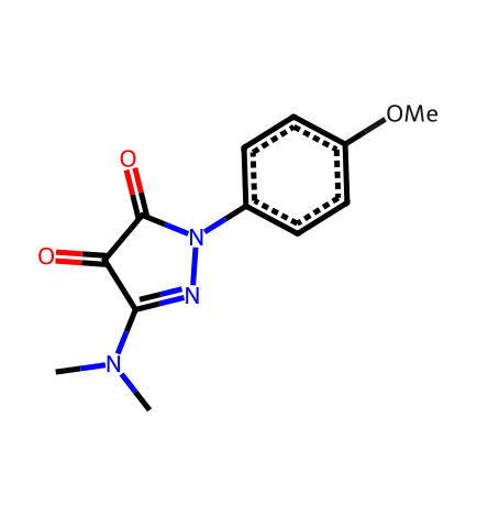 COc1ccc(N2N=C(N(C)C)C(=O)C2=O)cc1